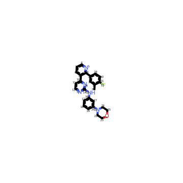 Cc1cc(-c2ncccc2-c2ccnc(Nc3cccc(N4CCOCC4)c3)n2)ccc1F